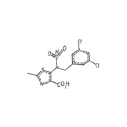 Cc1nc(C(=O)O)c(N(Cc2cc(Cl)cc(Cl)c2)[SH](=O)=O)s1